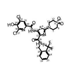 O=C(Nc1sc(N2CCS(=O)(=O)CC2)nc1C(=O)NCc1ccccc1C(F)(F)F)c1cc(Cl)c(O)c(Cl)n1